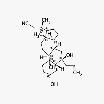 C=CC[C@@]1(O)C[C@H]2[C@@H]3CC[C@H]([C@H](C)CC#N)[C@@]3(C)CC[C@@H]2[C@@]2(C)CC[C@@H](O)C[C@@H]12